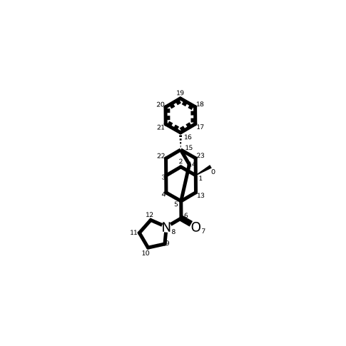 C[C@]12CC3CC(C(=O)N4CCCC4)(C1)C[C@@](c1ccccc1)(C3)C2